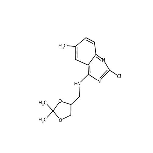 Cc1ccc2nc(Cl)nc(NCC3COC(C)(C)O3)c2c1